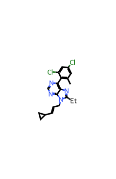 CCc1nc2c(-c3c(C)cc(Cl)cc3Cl)ncnc2n1CC=CC1CC1